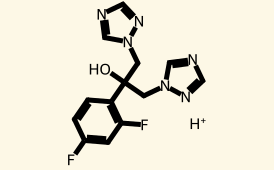 OC(Cn1cncn1)(Cn1cncn1)c1ccc(F)cc1F.[H+]